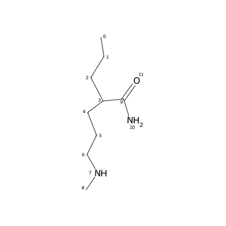 CCCC(CCCNC)C(N)=O